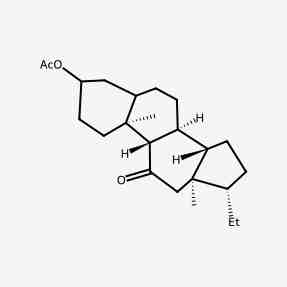 CC[C@H]1CC[C@H]2[C@@H]3CCC4CC(OC(C)=O)CC[C@]4(C)[C@H]3C(=O)C[C@]12C